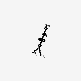 CCCCCCCCN(CCCCCCCC)c1ccc(C#Cc2c3ccccc3c(C#Cc3ccc(C#Cc4ccc(C(=O)O)cc4)c4nsnc34)c3ccccc23)cc1